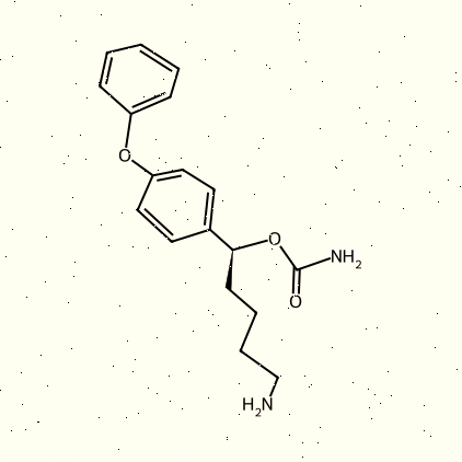 NCCCC[C@H](OC(N)=O)c1ccc(Oc2ccccc2)cc1